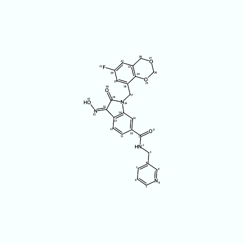 O=C(NCc1cccnc1)c1ccc2c(c1)N(Cc1cc(F)cc3c1OCOC3)C(=O)/C2=N\O